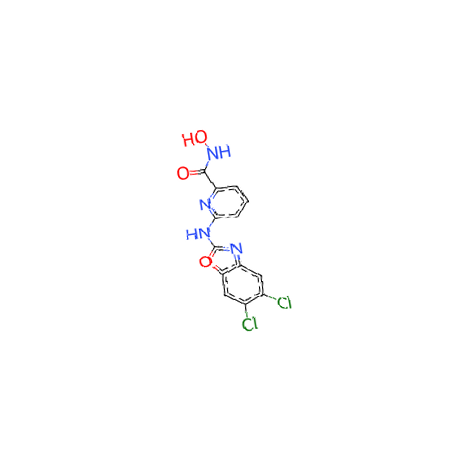 O=C(NO)c1cccc(Nc2nc3cc(Cl)c(Cl)cc3o2)n1